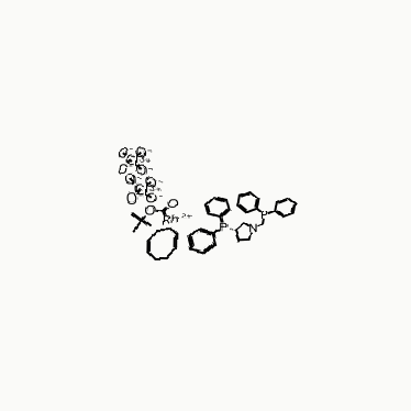 C1=C\CC/C=C\CC/1.CC(C)(C)O[C](=O)[Rh+2].[O-][Cl+3]([O-])([O-])[O-].[O-][Cl+3]([O-])([O-])[O-].c1ccc(P(CN2CC[C@H](P(c3ccccc3)c3ccccc3)C2)c2ccccc2)cc1